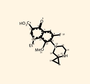 CCn1cc(C(=O)O)c(=O)c2cc(F)c(N3CCNC4(CC4)C3)c(OC)c21